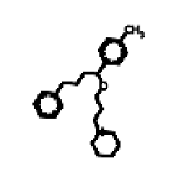 Cc1ccc(C(CCCc2ccccc2)OCCCN2CCCCC2)cc1